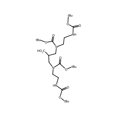 CC(C)(C)OC(=O)NCCN(CC(CN(CCNC(=O)OC(C)(C)C)C(=O)OC(C)(C)C)C(=O)O)C(=O)OC(C)(C)C